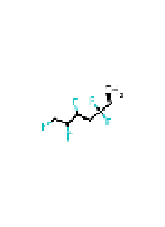 C=CC(F)(F)CC(F)C(F)CF